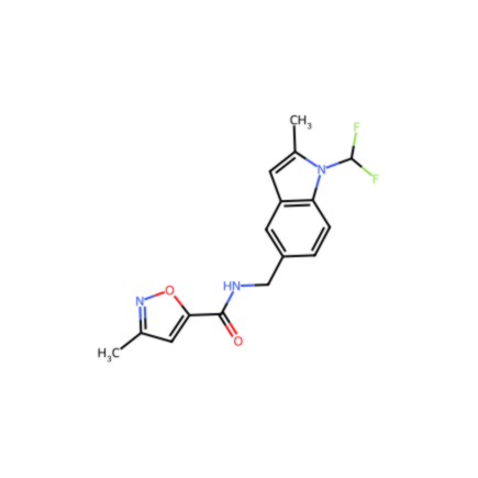 Cc1cc(C(=O)NCc2ccc3c(c2)cc(C)n3C(F)F)on1